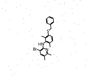 Cc1cc(Br)c(Nc2c(C)ccc(SCc3ccccc3)c2C)nc1C